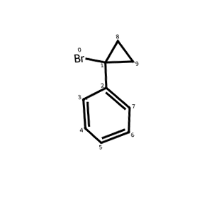 BrC1(c2[c]cccc2)CC1